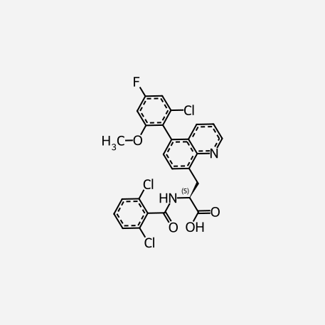 COc1cc(F)cc(Cl)c1-c1ccc(C[C@H](NC(=O)c2c(Cl)cccc2Cl)C(=O)O)c2ncccc12